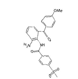 COc1ccc(C(=O)c2cccc(N)c2NC(=O)c2ccc(S(C)(=O)=O)cc2)cc1